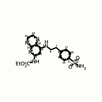 CCOC(=O)Nc1cc(NCCc2ccc(S(N)(=O)=O)cc2)c2nccnc2n1